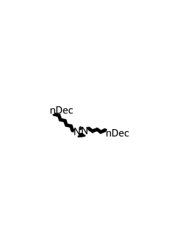 CCCCCCCCCCCCCCCCCN1C=CN(CCCCCCCCCCCCCCC)C1